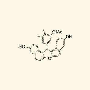 COc1cc(C2c3c(ccc4cc(O)ccc34)Oc3ccc4cc(O)ccc4c32)cc(C)c1C